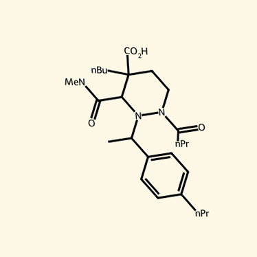 CCCCC1(C(=O)O)CCN(C(=O)CCC)N(C(C)c2ccc(CCC)cc2)C1C(=O)NC